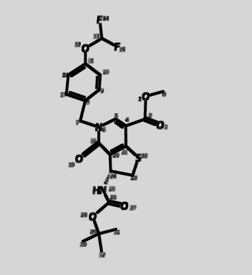 COC(=O)c1cn(Cc2ccc(OC(F)F)cc2)c(=O)c2c1SC[C@@H]2NC(=O)OC(C)(C)C